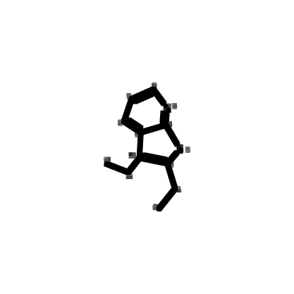 CCc1sc2ncccc2c1CC